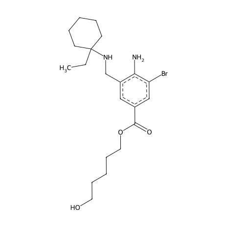 CCC1(NCc2cc(C(=O)OCCCCCO)cc(Br)c2N)CCCCC1